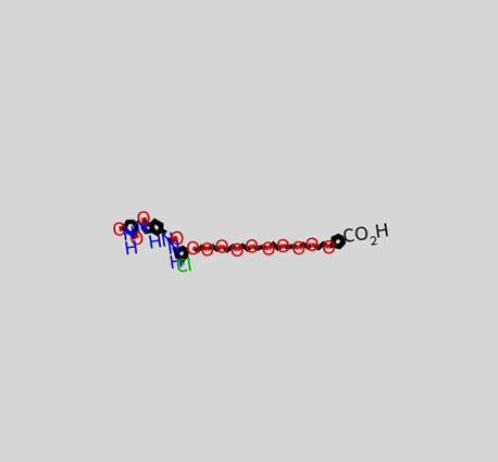 O=C1CCC(N2Cc3cc(CNC(=O)Nc4cc(Cl)cc(OCCOCCOCCOCCOCCOCCOCCOCCOCCOc5ccc(C(=O)O)cc5)c4)ccc3C2=O)C(=O)N1